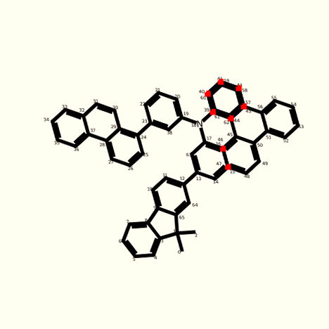 CC1(C)c2ccccc2-c2ccc(-c3cccc(N(c4cccc(-c5cccc6c5ccc5ccccc56)c4)c4ccccc4-c4ccccc4-c4ccccc4-c4ccccc4)c3)cc21